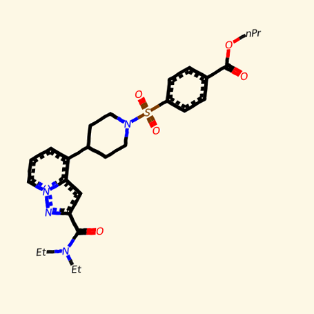 CCCOC(=O)c1ccc(S(=O)(=O)N2CCC(c3cccn4nc(C(=O)N(CC)CC)cc34)CC2)cc1